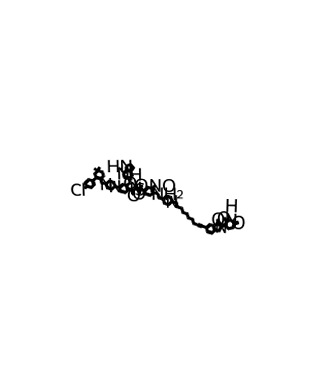 CC1(C)CCC(CN2CCN(c3ccc(C(=O)NS(=O)(=O)c4ccc(NCC5CCN(CCCCCCCCC#Cc6ccc7c(c6)C(=O)N(C6CCC(=O)NC6=O)C7)CC5)c([N+](=O)[O-])c4)c(Oc4cnc5[nH]ccc5c4)c3)CC2)=C(c2ccc(Cl)cc2)C1